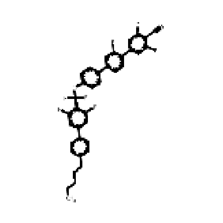 CCCCCc1ccc(-c2cc(F)c(C(F)(F)Oc3ccc(-c4ccc(-c5cc(F)c(C#N)c(F)c5)c(F)c4)cc3)c(F)c2)cc1